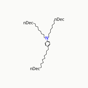 CCCCCCCCCCCCCCCCCCCc1ccc(N(CCCCCCCCCCCCCCCCCC)CCCCCCCCCCCCCCCCCC)cc1